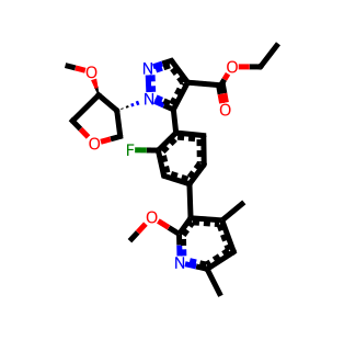 CCOC(=O)c1cnn([C@@H]2COC[C@H]2OC)c1-c1ccc(-c2c(C)cc(C)nc2OC)cc1F